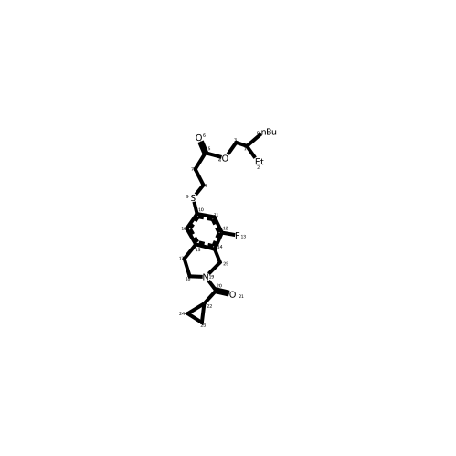 CCCCC(CC)COC(=O)CCSc1cc(F)c2c(c1)CCN(C(=O)C1CC1)C2